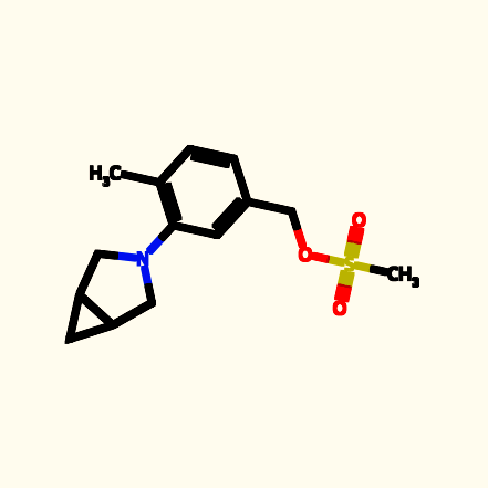 Cc1ccc(COS(C)(=O)=O)cc1N1CC2CC2C1